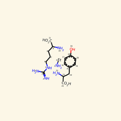 CCN.N=C(N)NCCCC(N)C(=O)O.NC(Cc1ccc(O)cc1)C(=O)O